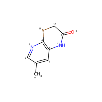 Cc1cnc2c(c1)NC(=O)CS2